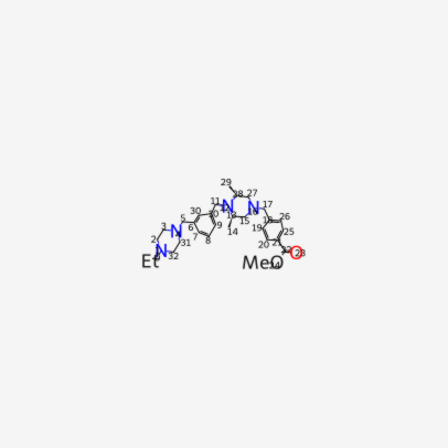 CCN1CCN(Cc2cccc(CN3[C@H](C)CN(Cc4ccc(C(=O)OC)cc4)C[C@@H]3C)c2)CC1